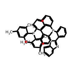 Cc1cc(C)c(P(c2ccccc2-c2ccccc2P(c2ccccc2)c2ccccc2-c2nc3ccccc3s2)c2c(C)cc(C)cc2C)c(C)c1